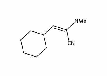 CNC(C#N)=CC1CCCCC1